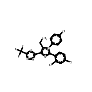 CCc1c(-c2nnc(C(F)(F)F)s2)nc(-c2ccc(Cl)cc2Cl)n1-c1ccc(Cl)cc1